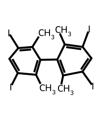 Cc1c(I)cc(I)c(C)c1-c1c(C)c(I)cc(I)c1C